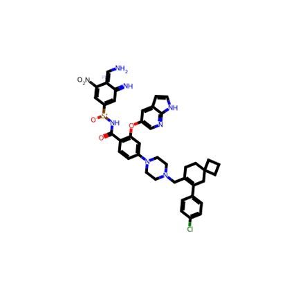 N=C1C=C([S+]([O-])NC(=O)c2ccc(N3CCN(CC4=C(c5ccc(Cl)cc5)CC5(CCC5)CC4)CC3)cc2Oc2cnc3[nH]ccc3c2)C=C([N+](=O)[O-])/C1=C/N